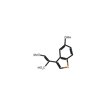 COC=C(C(=O)O)c1csc2ccc(OC)cc12